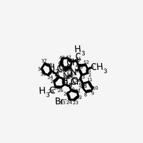 Cc1cc([C@H](C)c2ccccc2)c(-n2c[n+](-c3c([C@H](C)c4ccccc4)cc(C)cc3[C@H](C)c3ccccc3)c(C)c2C)c([C@H](C)c2ccccc2)c1.[Br-]